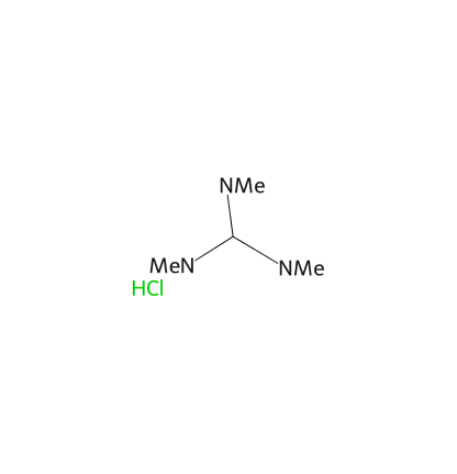 CNC(NC)NC.Cl